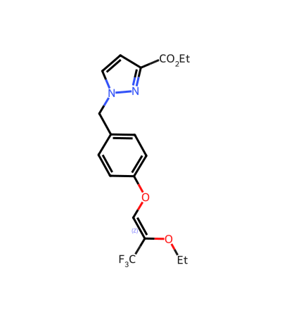 CCOC(=O)c1ccn(Cc2ccc(O/C=C(\OCC)C(F)(F)F)cc2)n1